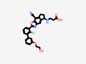 N#Cc1c2c(cc3nc(-c4cccc(-c5cccc(OCCO)c5)c4Cl)oc13)C(NCCC(=O)O)CC2